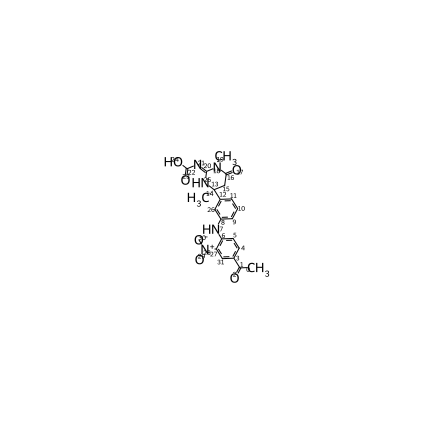 CC(=O)c1ccc(Nc2cccc([C@]3(C)CC(=O)N(C)/C(=N/C(=O)O)N3)c2)c([N+](=O)[O-])c1